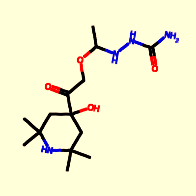 CC(NNC(N)=O)OCC(=O)C1(O)CC(C)(C)NC(C)(C)C1